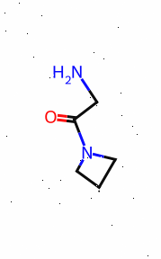 NCC(=O)N1C[CH]C1